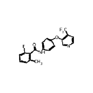 Cc1cccc(F)c1C(=O)Nc1ccc(Oc2cnccc2C(F)(F)F)cc1